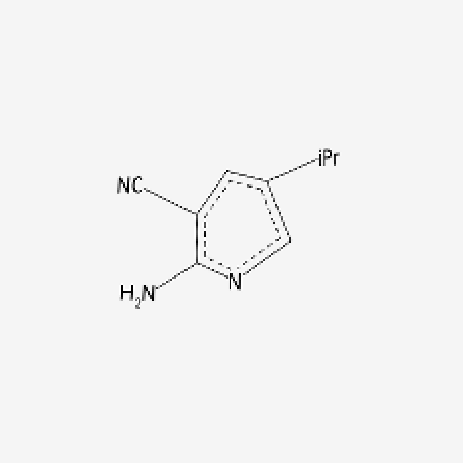 CC(C)c1cnc(N)c(C#N)c1